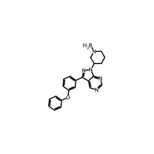 BN1CCCC(n2nc(-c3cccc(Oc4ccccc4)c3)c3cncnc32)C1